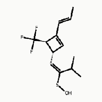 C/C=C/C1=C[C@H](/C=C(/SO)C(C)C)[C@H]1C(F)(F)F